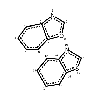 [c]1nc2ccccc2o1.[c]1nc2ccccc2s1